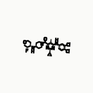 Cc1c(Nc2ccc(Cl)c(Cl)c2)nc(C2CC2)nc1C(=O)N1CCC(N[C@H]2CCOC[C@H]2F)CC1